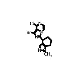 Cn1ncc2c1CCCC2c1nc(Br)c2c(Cl)nccn12